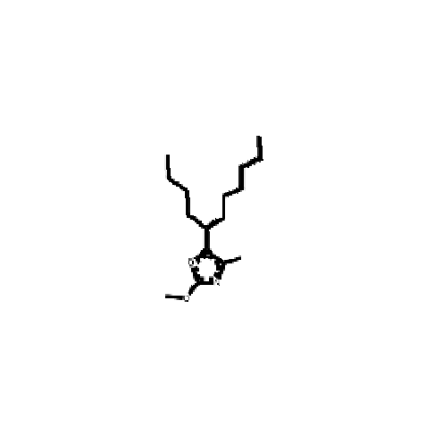 CCCCCCC(CCCC)c1oc(OC)nc1C